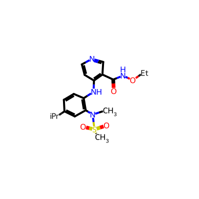 CCONC(=O)c1cnccc1Nc1ccc(C(C)C)cc1N(C)S(C)(=O)=O